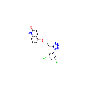 O=c1ccc2c(OCCCc3nnnn3-c3cc(Cl)cc(Cl)c3)cccc2[nH]1